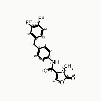 Cn1c(C(=O)Nc2ccc(Cc3ccc(F)c(F)c3)cn2)coc1=O